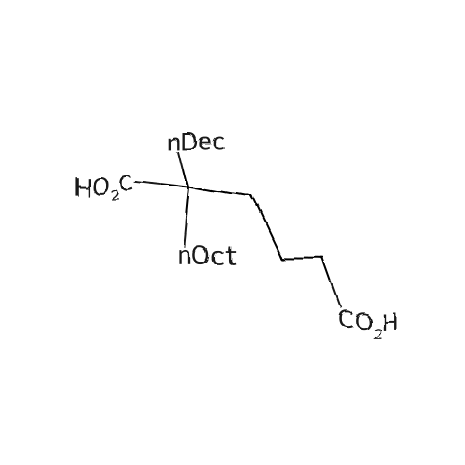 CCCCCCCCCCC(CCCCCCCC)(CCCC(=O)O)C(=O)O